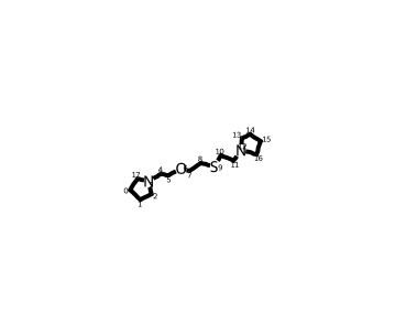 C1CCN(CCOCCSCCN2CCCC2)C1